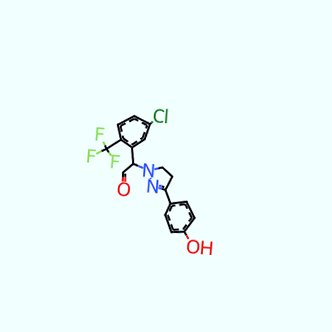 O=CC(c1cc(Cl)ccc1C(F)(F)F)N1CCC(c2ccc(O)cc2)=N1